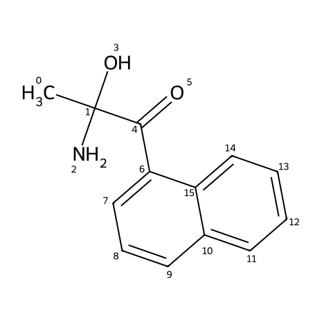 CC(N)(O)C(=O)c1cccc2ccccc12